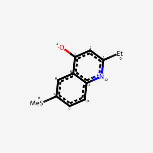 CCc1cc([O])c2cc(SC)ccc2n1